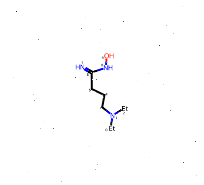 CCN(CC)CCCC(=N)NO